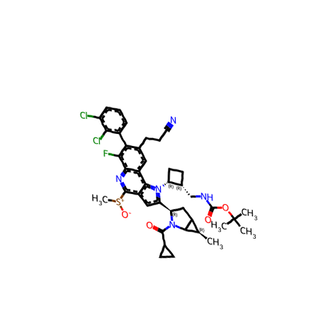 C[C@@H]1C2C[C@H](c3cc4c([S+](C)[O-])nc5c(F)c(-c6cccc(Cl)c6Cl)c(CCC#N)cc5c4n3[C@@H]3CC[C@@H]3CNC(=O)OC(C)(C)C)N(C(=O)C3CC3)C21